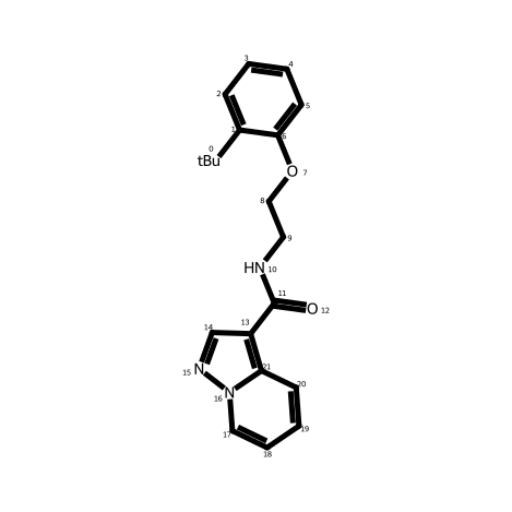 CC(C)(C)c1ccccc1OCCNC(=O)c1cnn2ccccc12